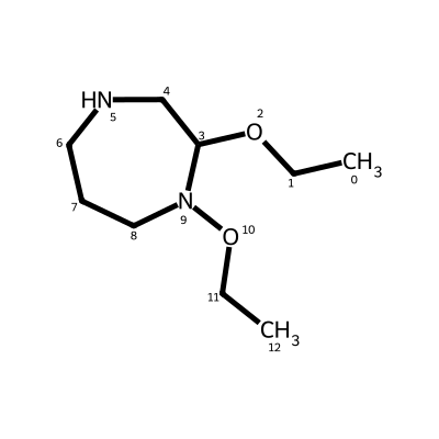 CCOC1CNCCCN1OCC